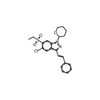 CCS(=O)(=O)c1cc2c(cc1Cl)c(C=Cc1ccccc1)nn2C1CCCCO1